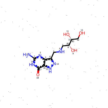 Nc1nc2c(CNC[C@@H](O)[C@H](O)CO)n[nH]c2c(=O)[nH]1